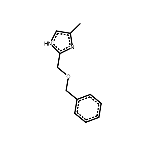 Cc1c[nH]c(COCc2ccccc2)n1